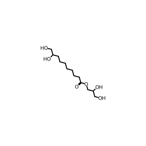 O=C(CCCCCCCC(O)CO)OCC(O)CO